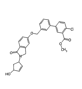 COC(=O)c1cc(-c2cccc(COc3ccc4c(c3)CN(C3C=CC(O)C3)C4=O)c2)ccc1Cl